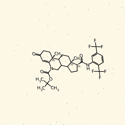 CC(C)(C)OC(=O)N1CC2C(CC[C@@]3(C)C2CC[C@@H]3C(=O)Nc2cc(C(F)(F)F)ccc2C(F)(F)F)[C@@]2(C)CCC(=O)C=C12